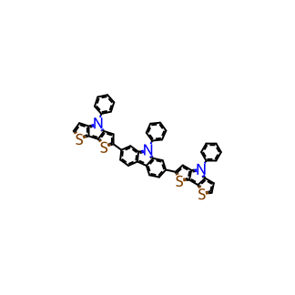 c1ccc(-n2c3cc(-c4cc5c(s4)c4sccc4n5-c4ccccc4)ccc3c3ccc(-c4cc5c(s4)c4sccc4n5-c4ccccc4)cc32)cc1